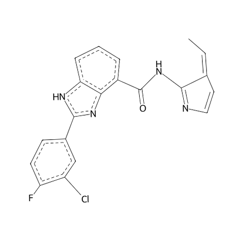 C/C=C1/C=CN=C1NC(=O)c1cccc2[nH]c(-c3ccc(F)c(Cl)c3)nc12